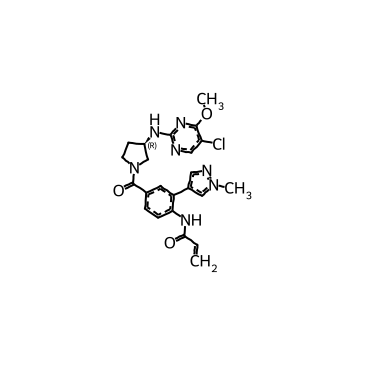 C=CC(=O)Nc1ccc(C(=O)N2CC[C@@H](Nc3ncc(Cl)c(OC)n3)C2)cc1-c1cnn(C)c1